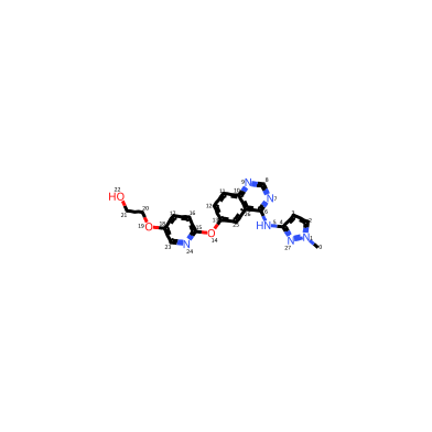 Cn1ccc(Nc2ncnc3ccc(Oc4ccc(OCCO)cn4)cc23)n1